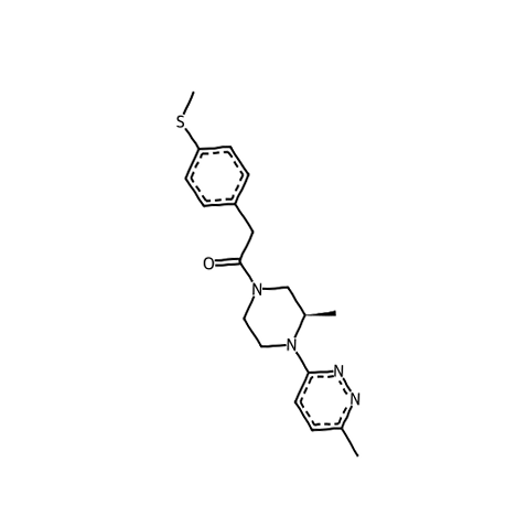 CSc1ccc(CC(=O)N2CCN(c3ccc(C)nn3)[C@H](C)C2)cc1